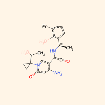 Bc1c(C(C)C)cccc1[C@@H](C)NC(=C=O)c1cn(C2(C(B)C)CC2)c(=O)cc1N